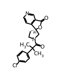 CC(C)(C(=O)N1CC[C@@]2(C1)OC(=O)c1cnccc12)c1ccc(Cl)cc1